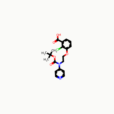 CC(C)(C)OC(=O)N(CCOc1cccc(C(=O)O)c1Cl)c1ccncc1